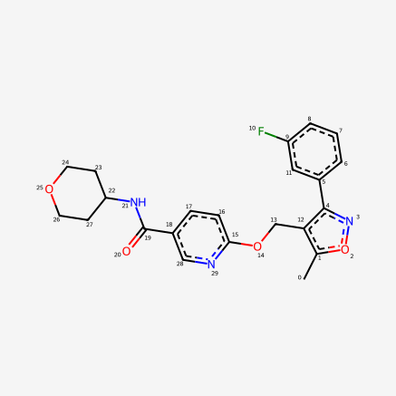 Cc1onc(-c2cccc(F)c2)c1COc1ccc(C(=O)NC2CCOCC2)cn1